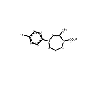 CC(C)(C)C1CN(c2ccc(F)cc2)CCCN1C(=O)O